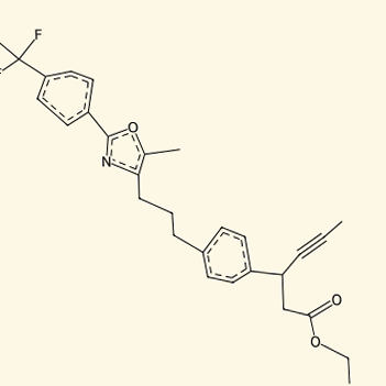 CC#CC(CC(=O)OCC)c1ccc(CCCc2nc(-c3ccc(C(F)(F)F)cc3)oc2C)cc1